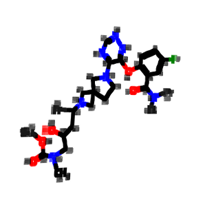 CCN(C(=O)c1cc(F)ccc1Oc1nncnc1N1CCC2(C1)CN(C(CC(O)CN(C)C(=O)OC(C)(C)C)C(C)C)C2)C(C)C